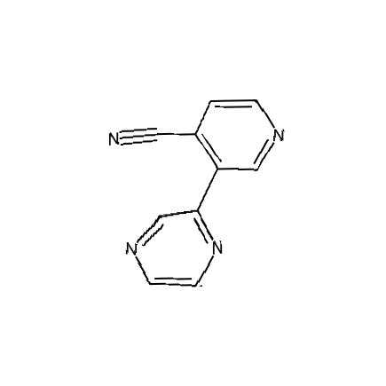 N#Cc1ccncc1-c1cnc[c]n1